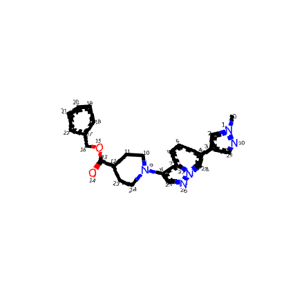 Cn1cc(-c2ccc3c(N4CCC(C(=O)OCc5ccccc5)CC4)cnn3c2)cn1